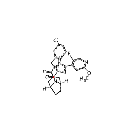 COc1cc(-c2cc(C(=O)N3[C@@H]4CC[C@H]3C[C@@H](C(=O)NCc3cccc(Cl)c3)C4)n[nH]2)c(F)cn1